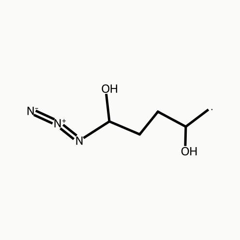 [CH2]C(O)CCC(O)N=[N+]=[N-]